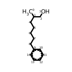 CC(CO)CCCCCc1ccccc1